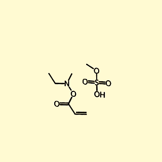 C=CC(=O)ON(C)CC.COS(=O)(=O)O